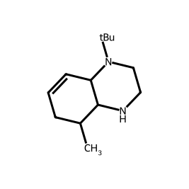 CC1CC=CC2C1NCCN2C(C)(C)C